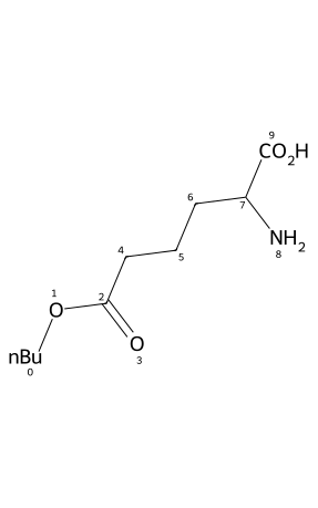 CCCCOC(=O)CCCC(N)C(=O)O